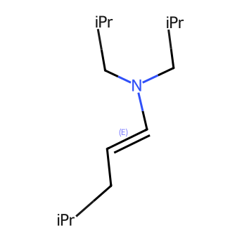 CC(C)C/C=C/N(CC(C)C)CC(C)C